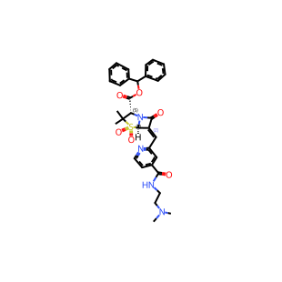 CN(C)CCNC(=O)c1ccnc(/C=C2/C(=O)N3[C@@H](C(=O)OC(c4ccccc4)c4ccccc4)C(C)(C)S(=O)(=O)[C@H]23)c1